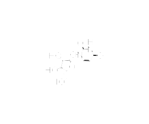 O=c1ccn(O[C@@H]2O[C@H](CO)[C@@H](O)[C@@H]2O)c(=O)[nH]1